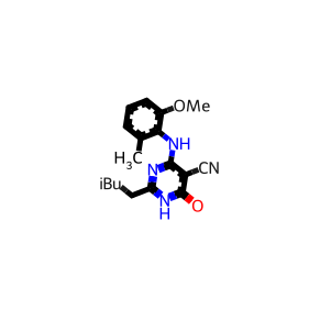 CCC(C)Cc1nc(Nc2c(C)cccc2OC)c(C#N)c(=O)[nH]1